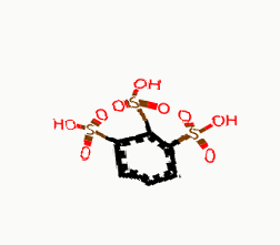 O=S(=O)(O)c1[c]ccc(S(=O)(=O)O)c1S(=O)(=O)O